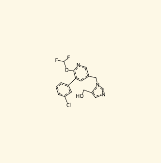 OCc1cncn1Cc1cnc(OC(F)F)c(-c2cccc(Cl)c2)c1